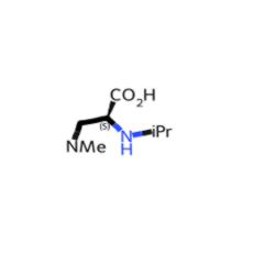 CNC[C@H](NC(C)C)C(=O)O